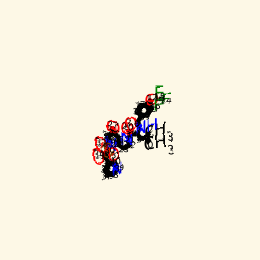 CC(C)CC(NC(=O)c1ccc(OC(F)(F)F)cc1)C(=O)N1CCC2C1C(=O)CN2S(=O)(=O)C(=O)c1cccnc1